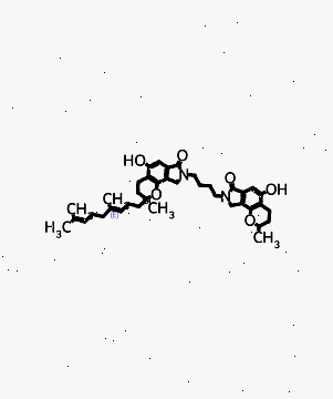 CC(C)=CCC/C(C)=C/CC[C@@]1(C)CCc2c(O)cc3c(c2O1)CN(CCCCN1Cc2c(cc(O)c4c2OC(C)CC4)C1=O)C3=O